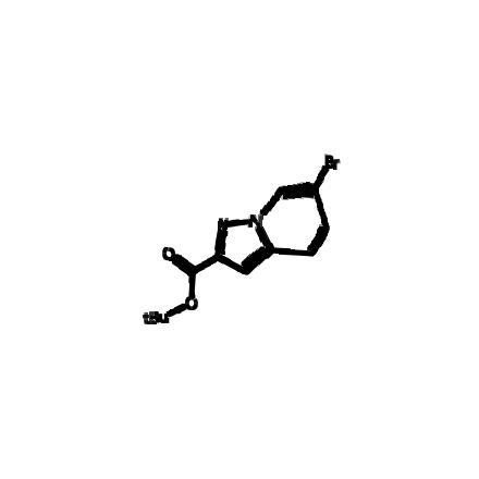 CC(C)(C)OC(=O)c1cc2ccc(Br)cn2n1